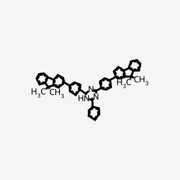 CC1(C)c2ccccc2-c2ccc(-c3ccc(C4=NC(c5ccc(-c6ccc7c(c6)C(C)(C)c6ccccc6-7)cc5)NC(c5ccccc5)=N4)cc3)cc21